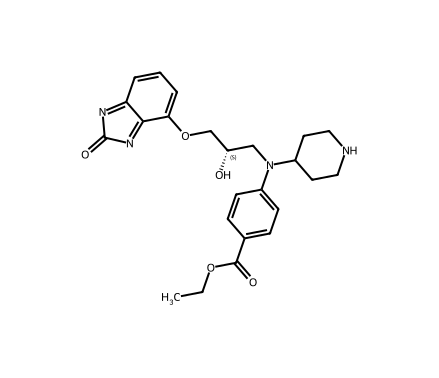 CCOC(=O)c1ccc(N(C[C@H](O)COc2cccc3c2=NC(=O)N=3)C2CCNCC2)cc1